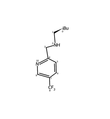 CC[C@H](C)CNCc1ccc(C(F)(F)F)cn1